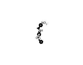 O=C(OCc1ccccc1)N1CCC(F)(CNC2CC2c2ccc([N+](=O)[O-])cc2)CC1